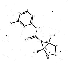 Cc1cccc(OC(=O)[C@H]2[C@@H]3CCO[C@@H]32)c1